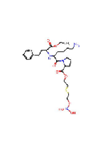 CCOC(=O)C(CCc1ccccc1)NC(CCCCN)C(=O)N1CCCC1C(=O)OCCSCCON(O)O